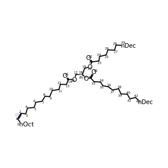 CCCCCCCC/C=C\CCCCCCCCCCCC(=O)OC[C@@H](COC(=O)CCCCCCCCCCCCCCCC)OC(=O)CCCCCCCCCCCCCCCCCCCC